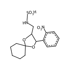 O=[N+]([O-])c1ccccc1C1OC2(CCCCC2)OC1CNS(=O)(=O)O